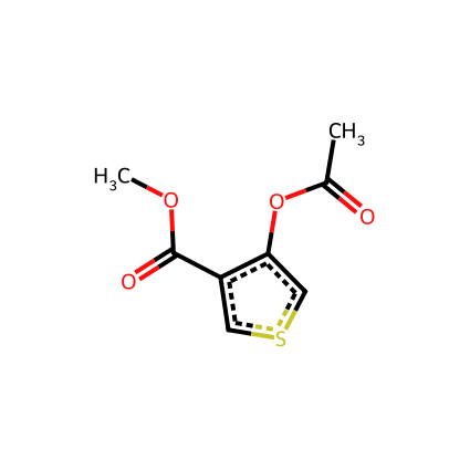 COC(=O)c1cscc1OC(C)=O